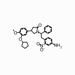 COc1ccc(C2CC(=O)N(C(Cc3ccc(N)cc3[N+](=O)[O-])c3ccccc3)C2)cc1OC1CCCC1